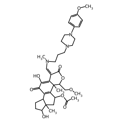 COCC1OC(=O)/C(=C\N(C)CCCN2CCN(c3ccc(OC)cc3)CC2)C2=C(O)C(=O)C3=C(C(OC(C)=O)CC4(C)C(O)CCC34)C21C